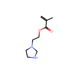 C=C(C)C(=O)OCCN1CCNC1